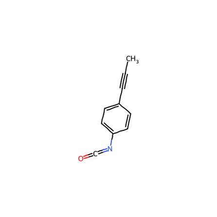 CC#Cc1ccc(N=C=O)cc1